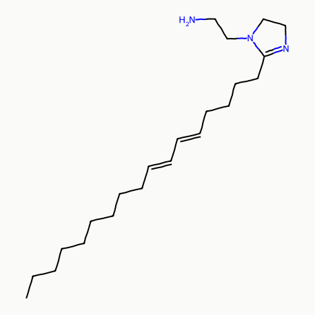 CCCCCCCCC/C=C/C=C/CCCCC1=NCCN1CCN